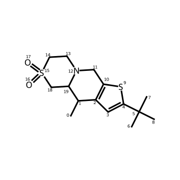 CC1c2cc(C(C)(C)C)sc2CN2CCS(=O)(=O)CC12